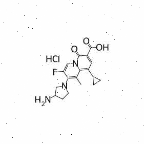 Cc1c(N2CCC(N)C2)c(F)cn2c(=O)c(C(=O)O)cc(C3CC3)c12.Cl